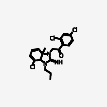 CCCN1C(=N)N(CC(=O)c2ccc(Cl)cc2Cl)C2(C)C=CC=C(Cl)C12